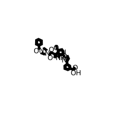 COc1cnc(-n2ccc(-c3cccc(C(=O)O)c3)n2)c2[nH]cc(C(=O)C(=O)N3CCN(C(=O)c4ccccc4)CC3)c12